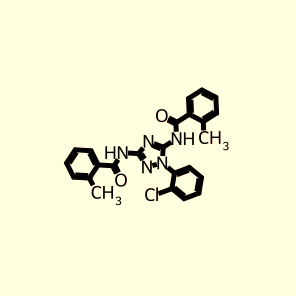 Cc1ccccc1C(=O)Nc1nc(NC(=O)c2ccccc2C)n(-c2ccccc2Cl)n1